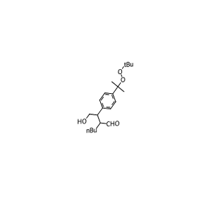 CCCCC(C=O)C(CO)c1ccc(C(C)(C)OOC(C)(C)C)cc1